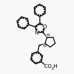 O=C(O)c1cccc(C[C@@H]2CCC[C@@H]2c2nc(-c3ccccc3)c(-c3ccccc3)o2)c1